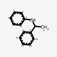 CC([Se]c1ccccc1)c1ccccc1